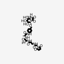 CC(C)[C@H](NC(=O)CCNC(=O)CN1C(=O)C=CC1=O)C(=O)N[C@@H](C)C(=O)Nc1ccc(COC[C@@H]2[C@@H](O)[C@H](O)[C@H](O)[C@H]3NC(=O)C(=O)N23)cc1